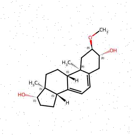 CO[C@@H]1C[C@@]2(C)C(=CC=C3[C@@H]4CC[C@H](O)[C@@]4(C)CC[C@@H]32)C[C@H]1O